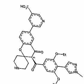 CCOc1cc(C(=O)[C@@H]2C(=O)c3cc(-c4cncc(C(=O)O)c4)ccc3OC23CCNCC3)cc(OCC)c1-c1cnn(C)c1